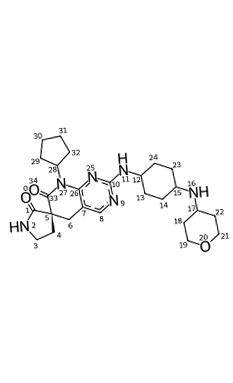 O=C1NCC[C@@]12Cc1cnc(NC3CCC(NC4CCOCC4)CC3)nc1N(C1CCCC1)C2=O